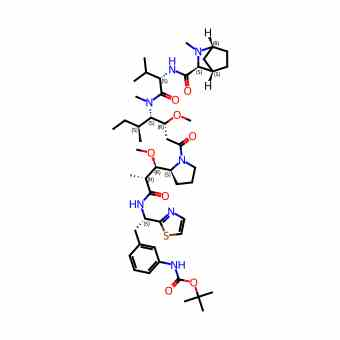 CC[C@H](C)[C@@H]([C@@H](CC(=O)N1CCC[C@H]1[C@H](OC)[C@@H](C)C(=O)N[C@@H](Cc1cccc(NC(=O)OC(C)(C)C)c1)c1nccs1)OC)N(C)C(=O)[C@@H](NC(=O)[C@@H]1[C@H]2CC[C@H](C2)N1C)C(C)C